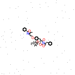 CO[C@@H](Cc1ccc(OCCc2nc(-c3ccccc3)oc2C)cc1O[Si](C)(C)C(C)(C)C(C)C)C(=O)N1C(=O)OC[C@@H]1Cc1ccccc1